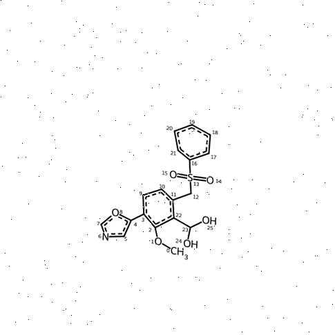 COc1c(-c2cnco2)ccc(CS(=O)(=O)c2ccccc2)c1C(O)O